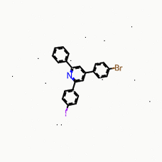 Brc1ccc(-c2cc(-c3ccccc3)nc(-c3ccc(I)cc3)c2)cc1